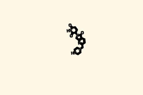 O=C1CCC(N2Cc3nc(CN4CCNCC4)ccc3C2=O)C(=O)N1